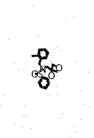 Cc1ccccc1CN1CC2(COC2)Oc2ccccc2[S+]1[O-]